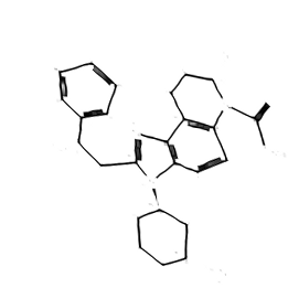 COC(=O)N1c2ccc3c(nc(C[C@H](C(=O)O)c4ccccc4)n3[C@@H]3CCC[C@@H](C#N)C3)c2CC[C@@H]1C